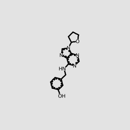 Oc1cccc(CNc2ncnc3c2ncn3C2CCCO2)c1